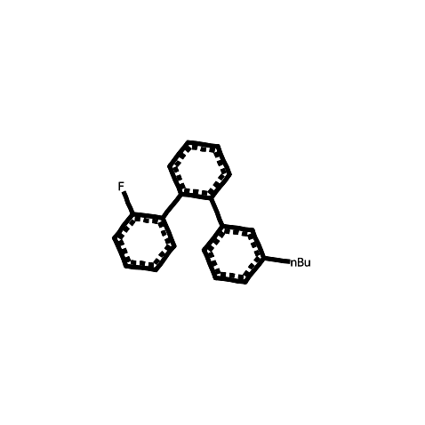 CCCCc1cccc(-c2ccccc2-c2ccccc2F)c1